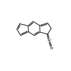 [N-]=[N+]=C1CC=c2cc3c(cc21)=CC=C3